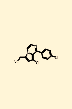 N#CCc1cc(Cl)c2c(-c3ccc(Cl)cc3)nccn12